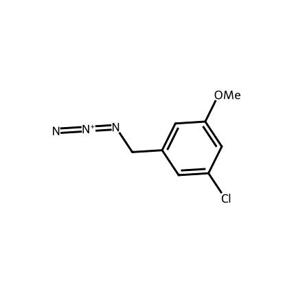 COc1cc(Cl)cc(CN=[N+]=[N-])c1